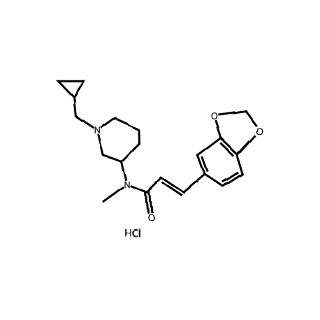 CN(C(=O)C=Cc1ccc2c(c1)OCO2)C1CCCN(CC2CC2)C1.Cl